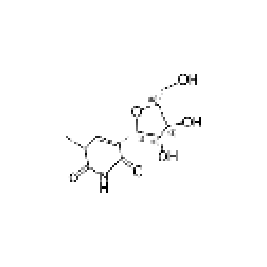 CC1C=C([C@@H]2O[C@H](CO)[C@@H](O)[C@H]2O)C(=O)NC1=O